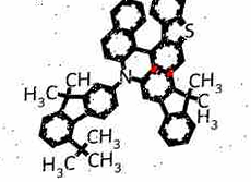 CC(C)(C)c1cccc2c1-c1ccc(N(c3ccc4c(c3)-c3ccccc3C4(C)C)c3ccc4ccccc4c3-c3cccc4sc5ccccc5c34)cc1C2(C)C